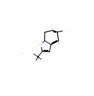 CC(C)(C(=O)O)C1=CC2=CC([N+](=O)[O-])=CCC2N1